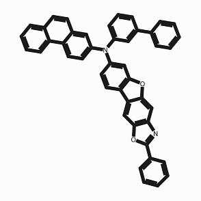 c1ccc(-c2cccc(N(c3ccc4c(ccc5ccccc54)c3)c3ccc4c(c3)oc3cc5nc(-c6ccccc6)oc5cc34)c2)cc1